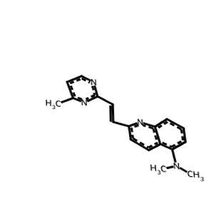 Cc1ccnc(C=Cc2ccc3c(N(C)C)cccc3n2)n1